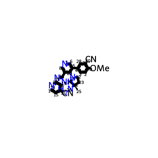 COc1ccc(-c2cncc(-c3nc4nccc(C#N)c4[nH]3)c2N2CC[C@](C)(N)C2)cc1C#N